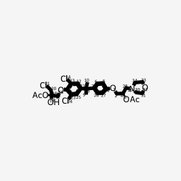 CC(=O)O[C@@H](COc1ccc(C(C)(C)c2cc(Cl)c(OC[C@](O)(CCl)OC(C)=O)c(Cl)c2)cc1)CN1CCOCC1